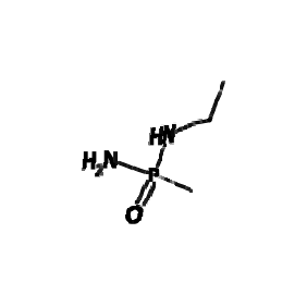 CCNP(C)(N)=O